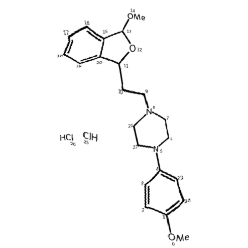 COc1ccc(N2CCN(CCC3OC(OC)c4ccccc43)CC2)cc1.Cl.Cl